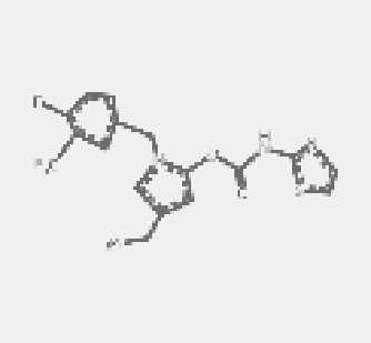 CC(C)Cc1cc(OC(=O)Nc2nccs2)n(Cc2ccc(F)c(C(F)(F)F)c2)c1